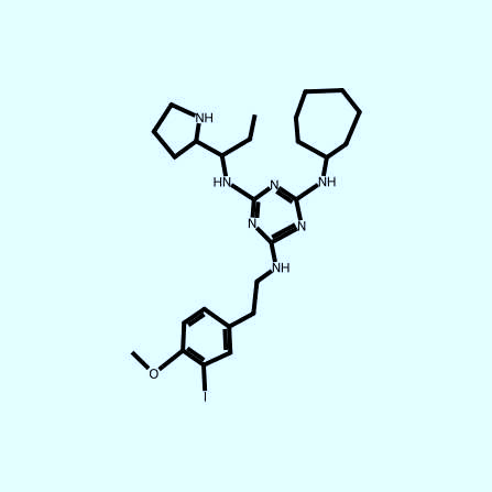 CCC(Nc1nc(NCCc2ccc(OC)c(I)c2)nc(NC2CCCCCC2)n1)C1CCCN1